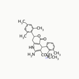 C/C=C\c1c(C)cccc1C1C(C(=O)OCC)=C(N)NC2=C1C(=O)OC(c1c(C)cc(C)cc1C)C2